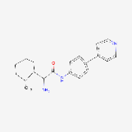 CC1CCCCC1C(N)C(=O)Nc1ccc(-c2ccncc2)cc1